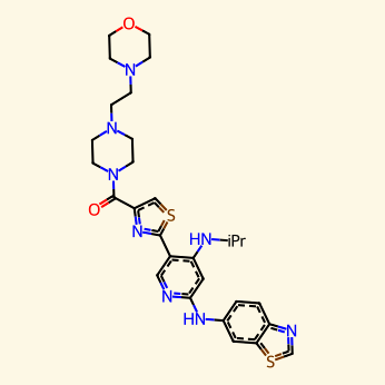 CC(C)Nc1cc(Nc2ccc3ncsc3c2)ncc1-c1nc(C(=O)N2CCN(CCN3CCOCC3)CC2)cs1